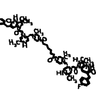 C[C@@H]1CN(CC(=O)N2CC(C)(C)c3[nH]c(=O)c(Cc4ccc(F)cc4)cc32)[C@@H](CN2CCN(C(=O)CCCCCCC(=O)N3CCN(C[C@H]4CN[C@H](C)CN4CC(=O)N4CC(C)(C)c5[nH]c(=O)c(Cc6ccc(F)cc6)cc54)[C@H](C)C3)C[C@H]2C)CN1